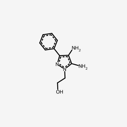 Nc1c(-c2ccccc2)nn(CCO)c1N